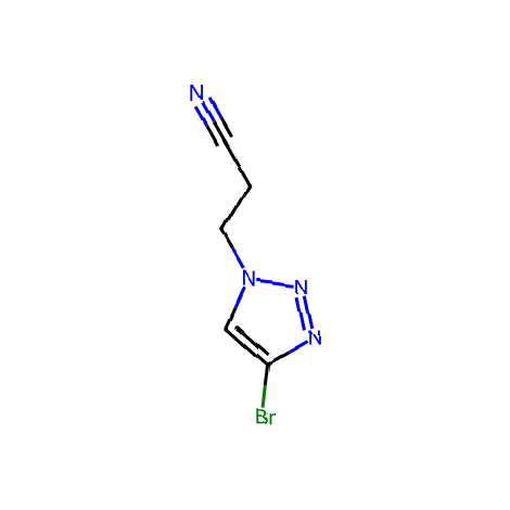 N#CCCn1cc(Br)nn1